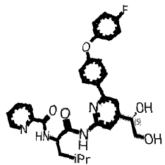 CC(C)CC(NC(=O)c1ccccn1)C(=O)Nc1cc([C@H](O)CO)cc(-c2ccc(Oc3ccc(F)cc3)cc2)n1